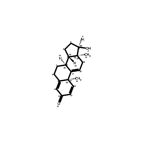 CC(=O)[C@@]1(O)CC[C@H]2[C@@H]3CCC4=CC(=O)C=C[C@]4(C)C3=CC[C@@]21C